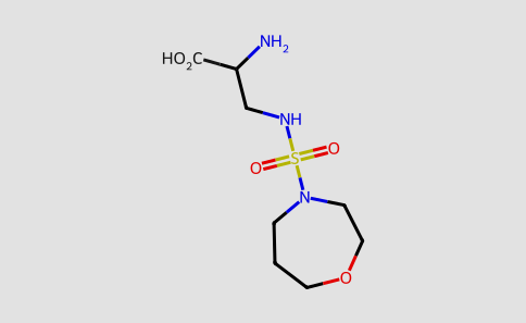 NC(CNS(=O)(=O)N1CCCOCC1)C(=O)O